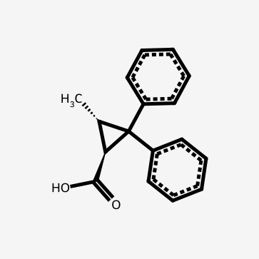 C[C@H]1[C@H](C(=O)O)C1(c1ccccc1)c1ccccc1